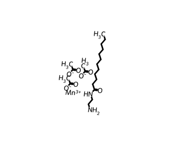 CC(=O)[O-].CC(=O)[O-].CC(=O)[O-].CCCCCCCCCCCC(=O)NCCN.[Mn+3]